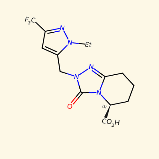 CCn1nc(C(F)(F)F)cc1Cn1nc2n(c1=O)[C@H](C(=O)O)CCC2